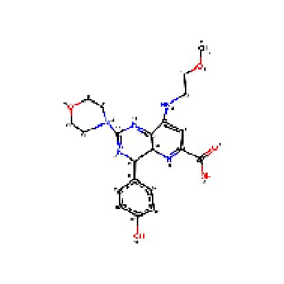 COCCNC1=CC(C(=O)O)=NC2C1=NC(N1CCOCC1)=NC2c1ccc(O)cc1